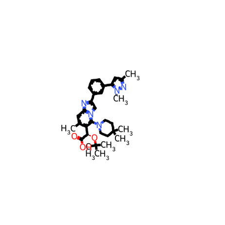 Cc1cc(-c2cccc(-c3cn4c(N5CCC(C)(C)CC5)c([C@H](OC(C)(C)C)C(=O)O)c(C)cc4n3)c2)n(C)n1